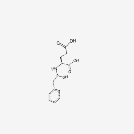 O=C(O)CC[C@H](NP(O)Cc1ccccc1)C(=O)O